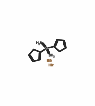 Br.Br.[SiH2]=[Zr](=[SiH2])([C]1=CC=CC1)[C]1=CC=CC1